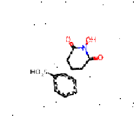 O=C1CCCC(=O)N1O.O=S(=O)(O)c1ccccc1